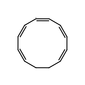 [C]1=CC=CC=CCCC=CC=C1